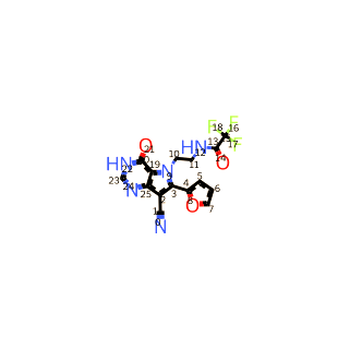 N#Cc1c(-c2ccco2)n(CCNC(=O)C(F)(F)F)c2c(=O)[nH]cnc12